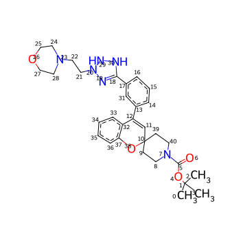 CC(C)(C)OC(=O)N1CCC2(C=C(c3cccc(C4=NN(CCN5CCOCC5)NN4)c3)c3ccccc3O2)CC1